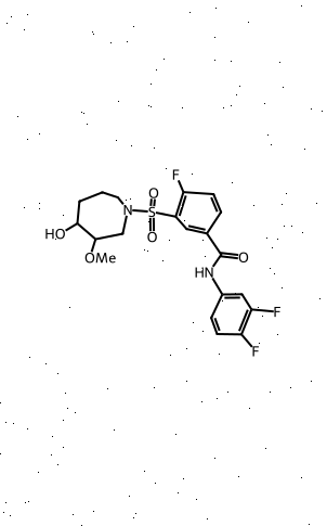 COC1CN(S(=O)(=O)c2cc(C(=O)Nc3ccc(F)c(F)c3)ccc2F)CCCC1O